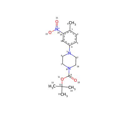 Cc1ccc(N2CCN(C(=O)OC(C)(C)C)CC2)cc1[N+](=O)[O-]